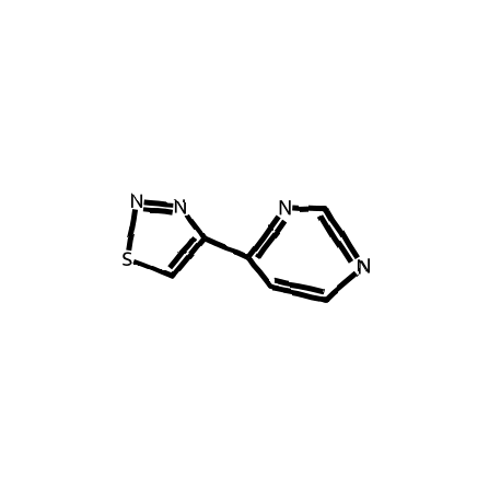 c1cc(-c2csnn2)ncn1